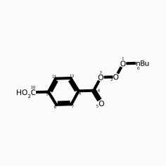 CCCCOOOC(=O)c1ccc(C(=O)O)cc1